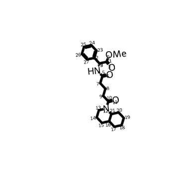 COC(=O)[C@H](NC(=O)CCCC(=O)N1CCCC2CCCCC21)c1ccccc1